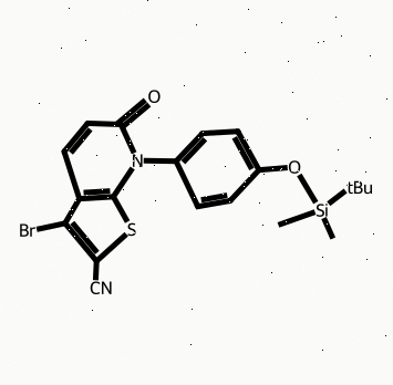 CC(C)(C)[Si](C)(C)Oc1ccc(-n2c(=O)ccc3c(Br)c(C#N)sc32)cc1